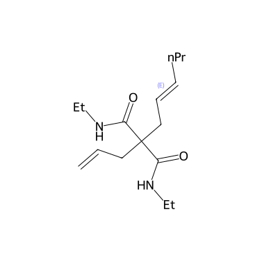 C=CCC(C/C=C/CCC)(C(=O)NCC)C(=O)NCC